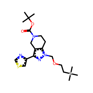 CC(C)(C)OC(=O)N1CCc2c(c(-c3cscn3)nn2COCC[Si](C)(C)C)C1